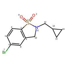 O=S1(=O)c2ccc(Br)cc2CN1CC1CC1